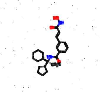 O=C(/C=C/c1cccc(C(=O)N[C@](C(=O)O)(C2CCCCC2)C2CCCC2)c1)NO